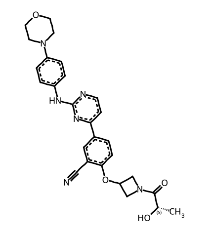 C[C@H](O)C(=O)N1CC(Oc2ccc(-c3ccnc(Nc4ccc(N5CCOCC5)cc4)n3)cc2C#N)C1